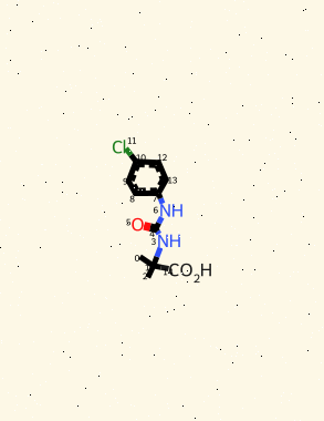 CC(C)(NC(=O)Nc1ccc(Cl)cc1)C(=O)O